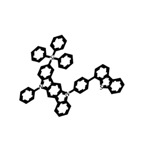 c1ccc(-n2c3ccc([Si](c4ccccc4)(c4ccccc4)c4ccccc4)cc3c3cc4c(cc32)c2ccccc2n4-c2ccc(-c3cccc4c3sc3ccccc34)cc2)cc1